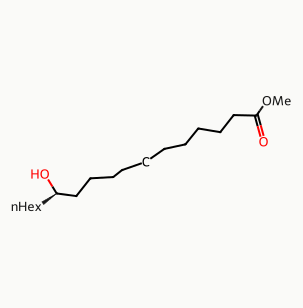 CCCCCC[C@@H](O)CCCCCCCCCCC(=O)OC